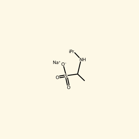 CC(C)NC(C)S(=O)(=O)[O-].[Na+]